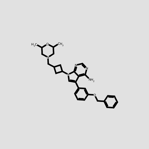 CC1CN(CC2CC(n3cc(-c4cccc(OCc5ccccc5)c4)c4c(N)ncnc43)C2)CC(C)O1